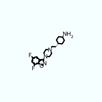 N[C@H]1CC[C@H](CCN2CCN(c3noc4c(F)cc(F)cc34)CC2)CC1